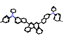 Cc1ccc(N(c2ccccc2)c2ccc3cc(-c4cc5cc(-c6ccc7cc(N(c8ccccc8)c8ccc(C)cc8)ccc7c6)c6ccccc6c5c5ccccc45)ccc3c2)cc1